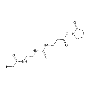 O=C(CI)NCCNC(=O)NCCC(=O)ON1CCCC1=O